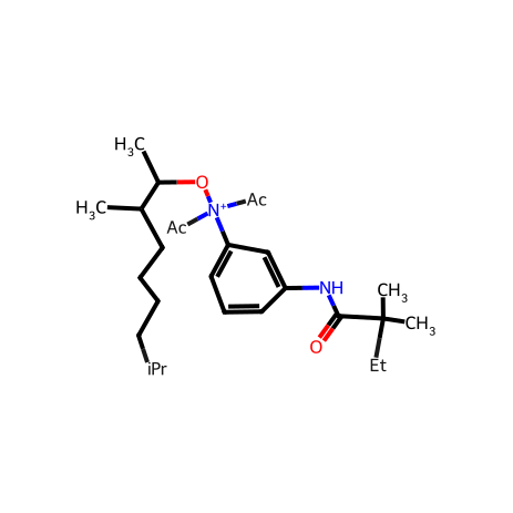 CCC(C)(C)C(=O)Nc1cccc([N+](OC(C)C(C)CCCCC(C)C)(C(C)=O)C(C)=O)c1